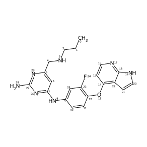 CCCNCc1cc(Nc2ccc(Oc3ccnc4[nH]ccc34)c(F)c2)nc(N)n1